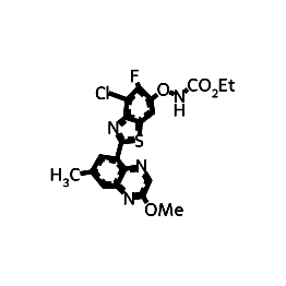 CCOC(=O)NOc1cc2sc(-c3cc(C)cc4nc(OC)cnc34)nc2c(Cl)c1F